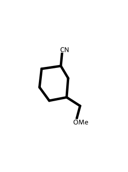 COCC1CCCC(C#N)C1